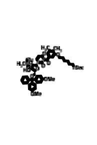 CCCCCCCCCCCCCCCCOc1cc(C(=O)n2c(=O)ccn([C@@H]3O[C@H](COC(c4ccccc4)(c4ccc(OC)cc4)c4ccc(OC)cc4)[C@H](O)C3O[Si](C)(C)C(C)(C)C)c2=O)cc(C)c1C